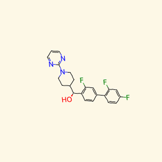 O[C@H](c1ccc(-c2ccc(F)cc2F)cc1F)C1CCN(c2ncccn2)CC1